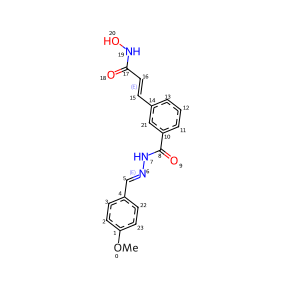 COc1ccc(/C=N/NC(=O)c2cccc(/C=C/C(=O)NO)c2)cc1